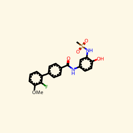 COc1cccc(-c2ccc(C(=O)Nc3ccc(O)c(NS(C)(=O)=O)c3)cc2)c1F